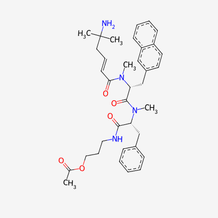 CC(=O)OCCCNC(=O)[C@@H](Cc1ccccc1)N(C)C(=O)[C@@H](Cc1ccc2ccccc2c1)N(C)C(=O)/C=C/CC(C)(C)N